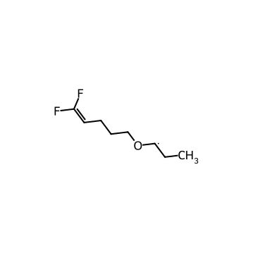 CC[CH]OCCCC=C(F)F